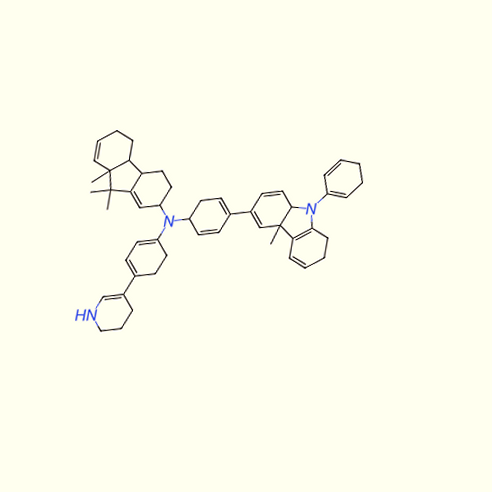 CC12C=C(C3=CCC(N(C4=CC=C(C5=CNCCC5)CC4)C4C=C5C(CC4)C4CCC=CC4(C)C5(C)C)C=C3)C=CC1N(C1=CCCC=C1)C1=C2C=CCC1